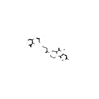 C/C(COCCC(=O)N1CCN2c3nnc(C(F)(F)F)cc3N(C)C(=O)[C@@]2(S)C1)=N/c1cn[nH]c(=O)c1C(F)(F)F